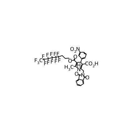 CC1=C(C(=O)OCCCC(F)(F)C(F)(F)C(F)(F)C(F)(F)C(F)(F)C(F)(F)F)C(c2cccc([N+](=O)[O-])c2)C(C(=O)O)=C(CN2C(=O)c3ccccc3C2=O)N1